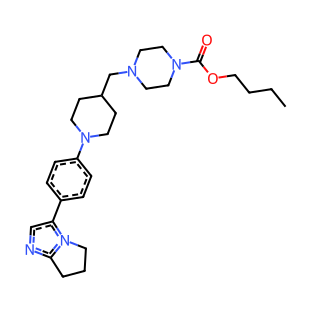 CCCCOC(=O)N1CCN(CC2CCN(c3ccc(-c4cnc5n4CCC5)cc3)CC2)CC1